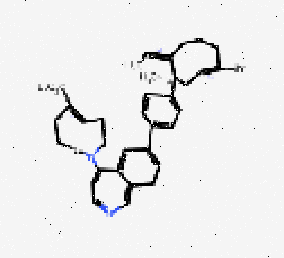 C/C=C1/CCC/C(C(C)C)=C/C[C@@]1(C)c1ccc(C2=CCC3=CN=CC=C(N4CC/C=C(\C(=O)OCC)CCC4)C3=C2)cc1